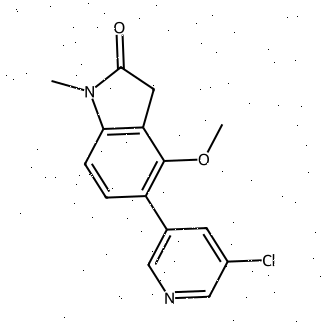 COc1c(-c2cncc(Cl)c2)ccc2c1CC(=O)N2C